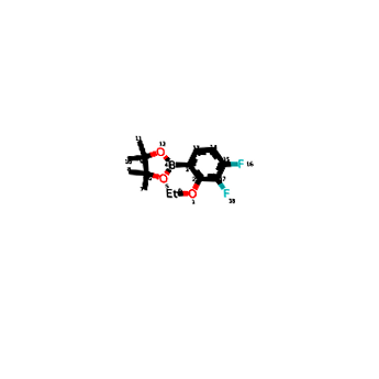 CCOc1c(B2OC(C)(C)C(C)(C)O2)ccc(F)c1F